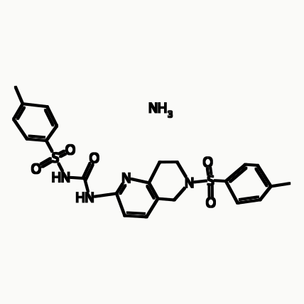 Cc1ccc(S(=O)(=O)NC(=O)Nc2ccc3c(n2)CCN(S(=O)(=O)c2ccc(C)cc2)C3)cc1.N